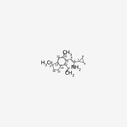 C=Cc1c(/C=C(\N)C2CC2)c(C)cc2c1CCC2C